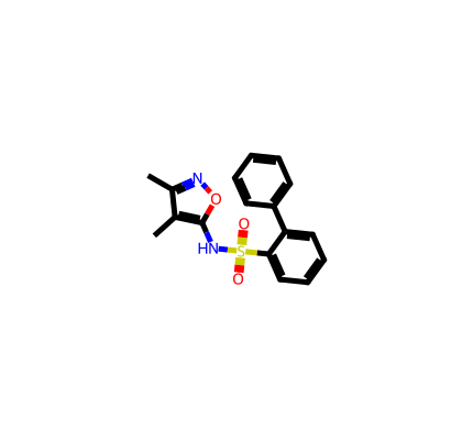 Cc1noc(NS(=O)(=O)c2ccccc2-c2ccccc2)c1C